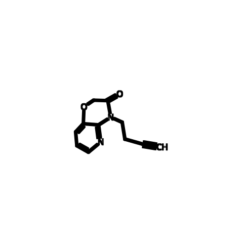 C#CCCN1C(=O)COc2cccnc21